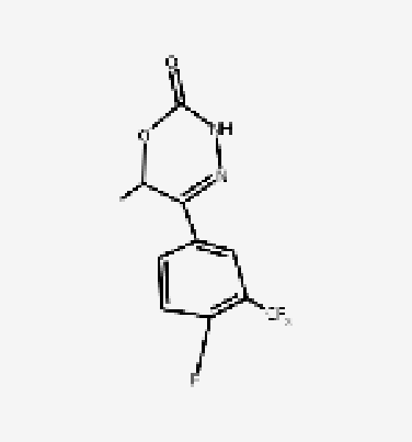 CC1OC(=O)NN=C1c1ccc(F)c(C(F)(F)F)c1